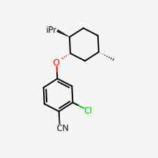 CC(C)[C@H]1CC[C@H](C)C[C@@H]1Oc1ccc(C#N)c(Cl)c1